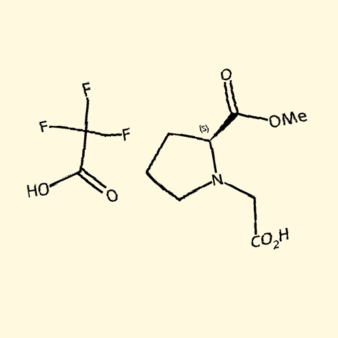 COC(=O)[C@@H]1CCCN1CC(=O)O.O=C(O)C(F)(F)F